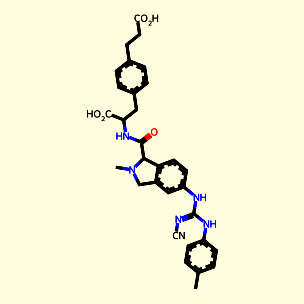 Cc1ccc(NC(=NC#N)Nc2ccc3c(c2)CN(C)C3C(=O)NC(Cc2ccc(CCC(=O)O)cc2)C(=O)O)cc1